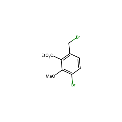 CCOC(=O)c1c(CBr)ccc(Br)c1OC